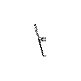 C=COOOOOOOOOCCCCCCCCCCCCCC(C)C.O=P(O)(O)O